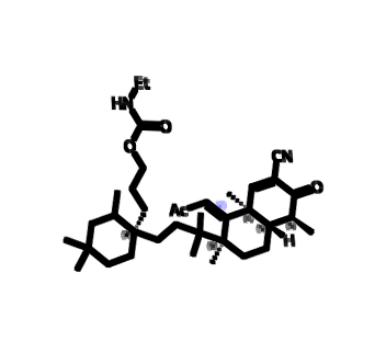 CCNC(=O)OCCC[C@]1(CCC(C)(C)[C@]2(C)CC[C@H]3[C@H](C)C(=O)C(C#N)=C[C@]3(C)/C2=C/C(C)=O)CCC(C)(C)CC1C